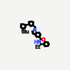 CCC(NC(=O)c1ccc2c(ccn2Cc2cccc(-c3cccc(C(C)(C)C)c3)c2)c1)c1ccccc1